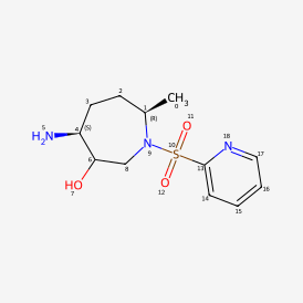 C[C@@H]1CC[C@H](N)C(O)CN1S(=O)(=O)c1ccccn1